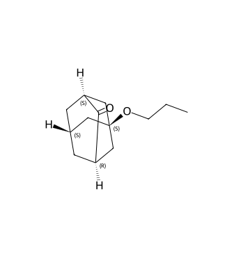 CCCO[C@]12C[C@@H]3C[C@H](C1)C(=O)[C@@H](C3)C2